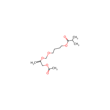 C=C(COC(C)=O)OCOCCCCOC(=O)C(C)C